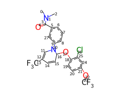 CN(C)C(=O)c1cccc(N2C=C(C(F)(F)F)C=CC2Oc2ccc(OC(F)(F)F)cc2Cl)c1